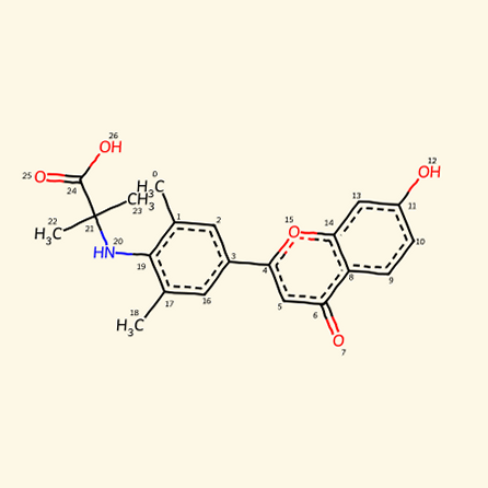 Cc1cc(-c2cc(=O)c3ccc(O)cc3o2)cc(C)c1NC(C)(C)C(=O)O